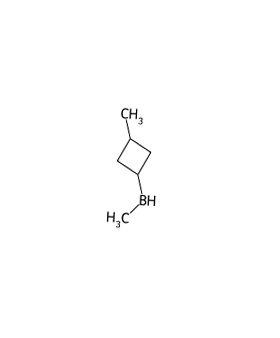 CBC1CC(C)C1